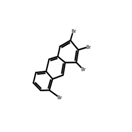 Brc1[c]c2cc3cccc(Br)c3cc2c(Br)c1Br